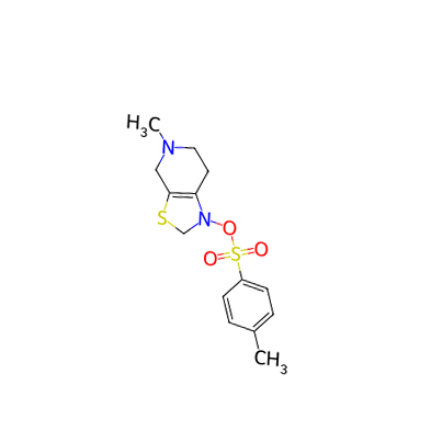 Cc1ccc(S(=O)(=O)ON2CSC3=C2CCN(C)C3)cc1